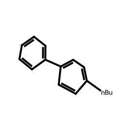 CCCCc1ccc(-c2cc[c]cc2)cc1